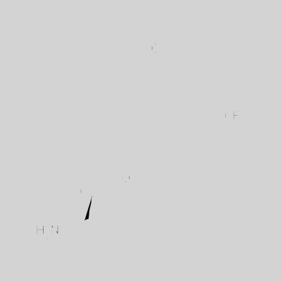 NC[C@H]1CCc2cc(Cl)cc(-c3ccccc3C(F)(F)F)c2O1